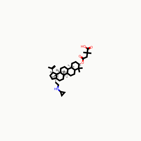 C=C(C)[C@@H]1CC[C@]2(CCNC3CC3)CC[C@]3(C)[C@H](CCC4[C@@]5(C)CC[C@H](OC(=O)CC(C)(C)C(=O)O)C(C)(C)C5CC[C@]43C)[C@@H]12